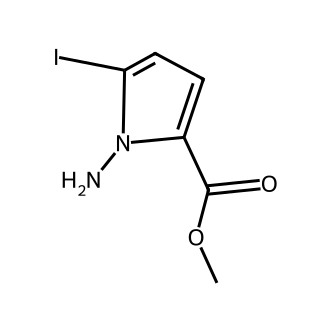 COC(=O)c1ccc(I)n1N